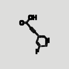 O=C(O)C#Cc1cncc(F)c1